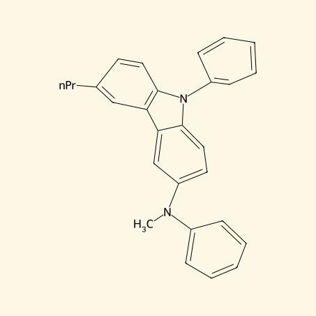 CCCc1ccc2c(c1)c1cc(N(C)c3ccccc3)ccc1n2-c1ccccc1